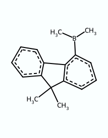 CB(C)c1cccc2c1-c1ccccc1C2(C)C